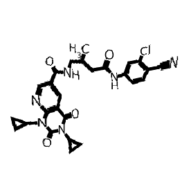 CC(CNC(=O)c1cnc2c(c1)c(=O)n(C1CC1)c(=O)n2C1CC1)CC(=O)Nc1ccc(C#N)c(Cl)c1